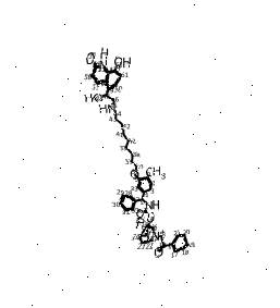 Cc1ccc(C(NC(=O)O[C@H]2C[N+]3(CC(=O)c4ccccc4)CCC2CC3)c2ccccc2)cc1OCCCCCCCCCNCC(O)c1ccc(O)c2[nH]c(=O)ccc12